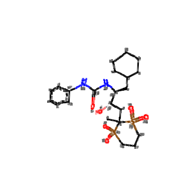 CC1(C[C@H](O)[C@H](CC2CCCCC2)NC(=O)Nc2ccccc2)S(=O)(=O)CCCS1(=O)=O